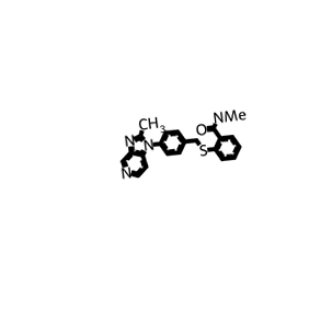 CNC(=O)c1ccccc1SCc1ccc(-n2c(C)nc3cnccc32)cc1